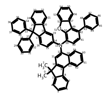 CC1(C)c2ccccc2-c2c1cc(N(c1ccc3c(c1)-c1ccccc1C3(c1ccccc1)c1ccccc1)c1ccc(-c3ccccc3)c3c1oc1ccccc13)c1ccccc21